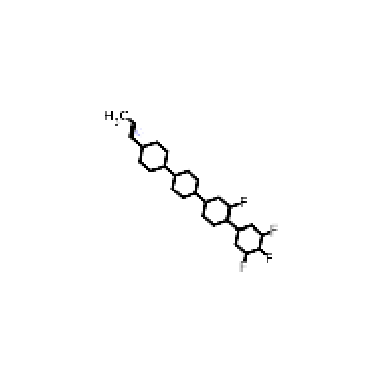 C/C=C/C1CCC(C2CCC(C3CCC(C4CC(F)C(F)C(F)C4)C(F)C3)CC2)CC1